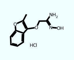 Cc1oc2ccccc2c1OCC(N)=NO.Cl